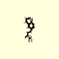 CCOC(C)CCc1ccc2ncccc2c1